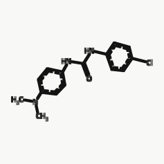 CN(C)c1ccc(NC(=O)Nc2ccc(Cl)cc2)cc1